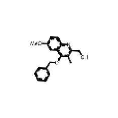 COc1ccc2nc(CO)c(C)c(OCc3ccccc3)c2c1